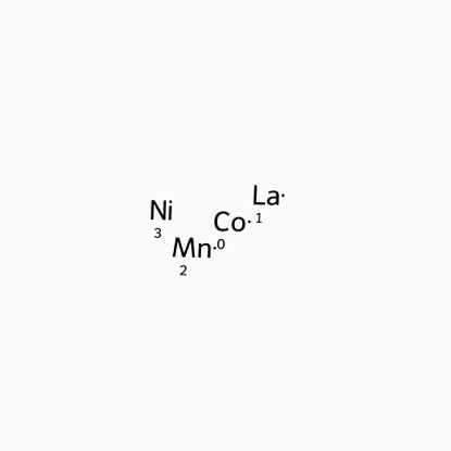 [Co].[La].[Mn].[Ni]